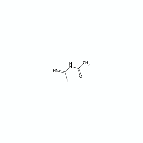 CC(=O)NC(=N)I